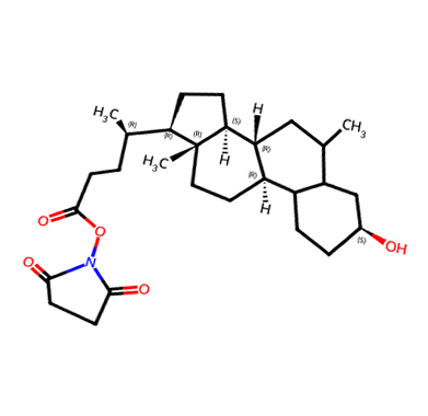 CC1C[C@@H]2[C@H](CC[C@]3(C)[C@@H]([C@H](C)CCC(=O)ON4C(=O)CCC4=O)CC[C@@H]23)C2CC[C@H](O)CC12